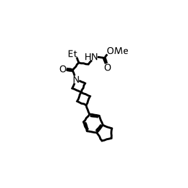 CCC(CNC(=O)OC)C(=O)N1CC2(CC(c3ccc4c(c3)CCC4)C2)C1